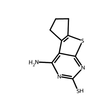 Nc1nc(S)nc2sc3c(c12)CCC3